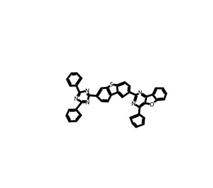 c1ccc(-c2nc(-c3ccccc3)nc(-c3ccc4c(c3)sc3ccc(-c5nc(-c6ccccc6)c6oc7ccccc7c6n5)cc34)n2)cc1